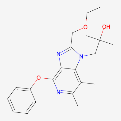 CCOCc1nc2c(Oc3ccccc3)nc(C)c(C)c2n1CC(C)(C)O